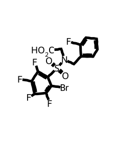 O=C(O)CN(Cc1ccccc1F)S(=O)(=O)c1c(F)c(F)c(F)c(F)c1Br